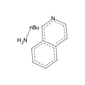 CCCCN.c1ccc2cnccc2c1